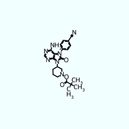 CC(C)(C)C(=O)ON1CCCC(n2c(=O)n(-c3ccc(C#N)cc3)c3c(N)ncnc32)C1